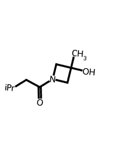 CC(C)CC(=O)N1CC(C)(O)C1